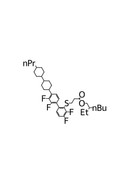 CCCCC(CC)COC(=O)CCSc1c(-c2ccc(C3CCC(C4CCC(CCC)CC4)CC3)c(F)c2F)ccc(F)c1F